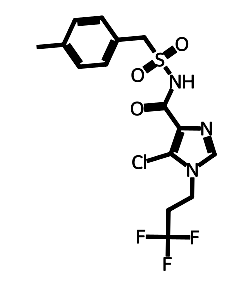 Cc1ccc(CS(=O)(=O)NC(=O)c2ncn(CCC(F)(F)F)c2Cl)cc1